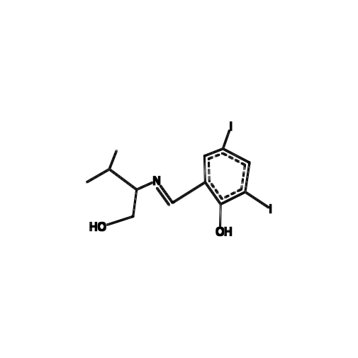 CC(C)C(CO)/N=C/c1cc(I)cc(I)c1O